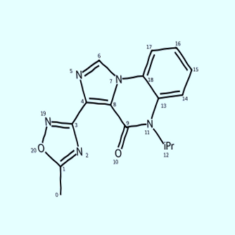 Cc1nc(-c2ncn3c2c(=O)n(C(C)C)c2ccccc23)no1